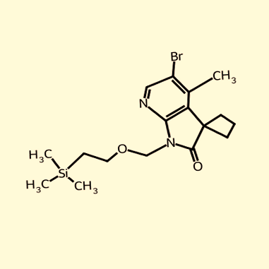 Cc1c(Br)cnc2c1C1(CCC1)C(=O)N2COCC[Si](C)(C)C